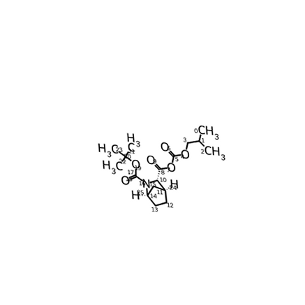 CC(C)COC(=O)OC(=O)[C@@H]1[C@H]2CC[C@H](C2)N1C(=O)OC(C)(C)C